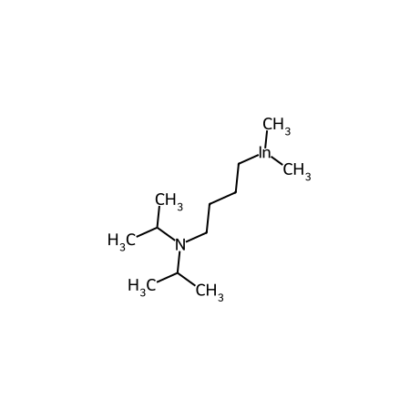 CC(C)N(CCC[CH2][In]([CH3])[CH3])C(C)C